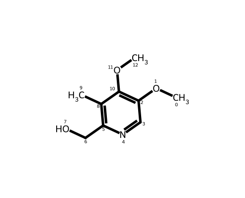 COc1cnc(CO)c(C)c1OC